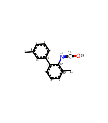 Cc1cccc(-c2cccc(C)c2N=C=O)c1